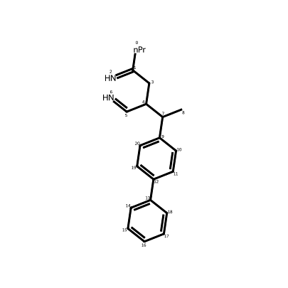 CCCC(=N)CC(C=N)C(C)c1ccc(-c2ccccc2)cc1